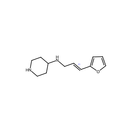 C(=C\c1ccco1)/CNC1CCNCC1